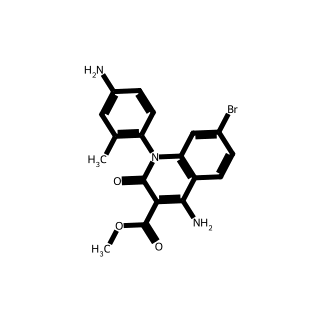 COC(=O)c1c(N)c2ccc(Br)cc2n(-c2ccc(N)cc2C)c1=O